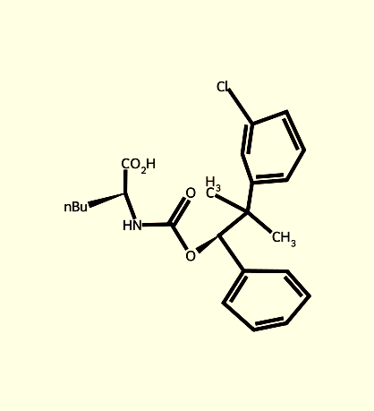 CCCC[C@H](NC(=O)O[C@H](c1ccccc1)C(C)(C)c1cccc(Cl)c1)C(=O)O